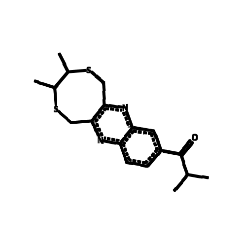 CC(C)C(=O)c1ccc2nc3c(nc2c1)CSC(C)C(C)SC3